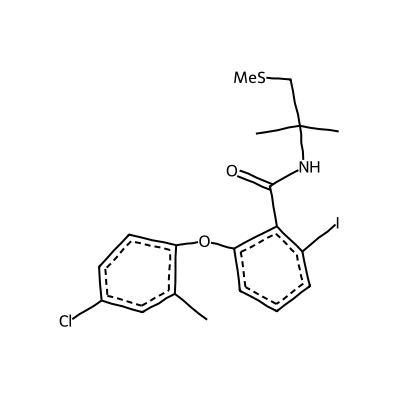 CSCC(C)(C)NC(=O)c1c(I)cccc1Oc1ccc(Cl)cc1C